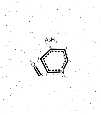 C=O.[AsH3].c1ccncc1